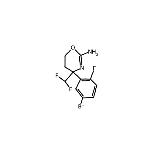 NC1=NC(c2cc(Br)ccc2F)(C(F)F)CCO1